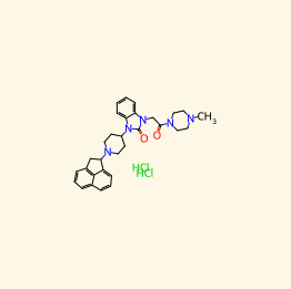 CN1CCN(C(=O)Cn2c(=O)n(C3CCN(C4Cc5cccc6cccc4c56)CC3)c3ccccc32)CC1.Cl.Cl